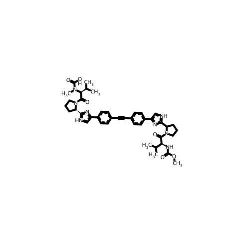 COC(=O)N[C@H](C(=O)N1CCCC1c1nc(-c2ccc(C#Cc3ccc(-c4c[nH]c([C@@H]5CCCN5C(=O)[C@H](C(C)C)N(C)C(=O)O)n4)cc3)cc2)c[nH]1)C(C)C